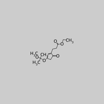 CCOC(=O)CCC1=CC(OC(C)(C)OC)CC1=O